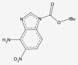 CC(C)(C)OC(=O)n1cnc2c(N)c([N+](=O)[O-])ccc21